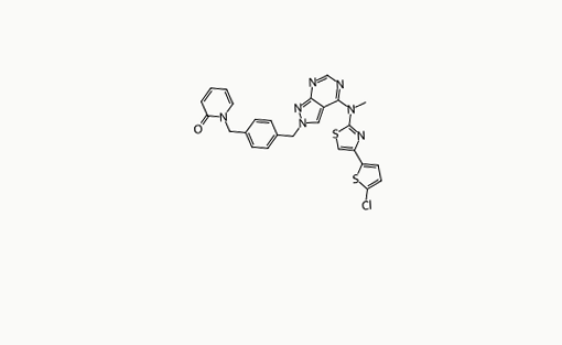 CN(c1nc(-c2ccc(Cl)s2)cs1)c1ncnc2nn(Cc3ccc(Cn4ccccc4=O)cc3)cc12